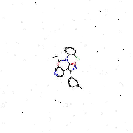 CCC(=O)N(c1ccccc1Cl)c1onc(-c2cccc(C)c2)c1-c1ccncc1